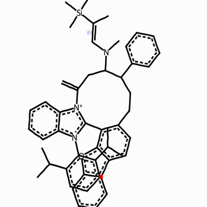 C=C1CC(N(C)/C=C(\C)[Si](C)(C)C)C(c2ccccc2)CCc2ccc3c(oc4ccccc43)c2-c2n(-c3c(C(C)C)cccc3C(C)C)c3ccccc3[n+]21